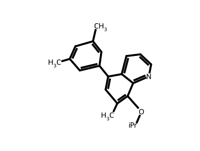 Cc1cc(C)cc(-c2cc(C)c(OC(C)C)c3ncccc23)c1